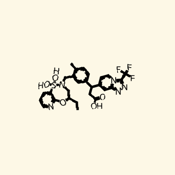 CCC1CN(Cc2cc(C(CC(=O)O)c3ccn4c(C(F)(F)F)nnc4c3)ccc2C)S(O)(O)c2cccnc2O1